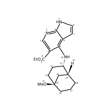 CCOC(=O)c1cnc2[nH]ccc2c1N[C@H]1CC[C@@]2(OC)CCC[C@@H]1C2